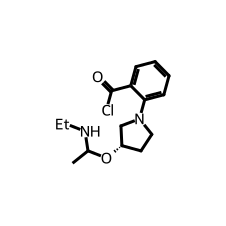 CCNC(C)O[C@H]1CCN(c2ccccc2C(=O)Cl)C1